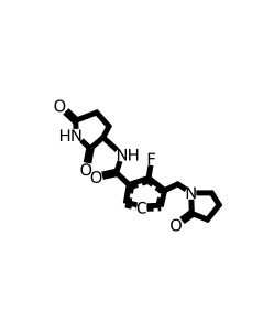 O=C1CCC(NC(=O)c2cccc(CN3CCCC3=O)c2F)C(=O)N1